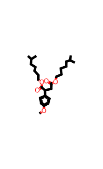 COc1ccc(C(CC(=O)OCCCCCC(C)C)C(=O)OCCCCCC(C)C)cc1